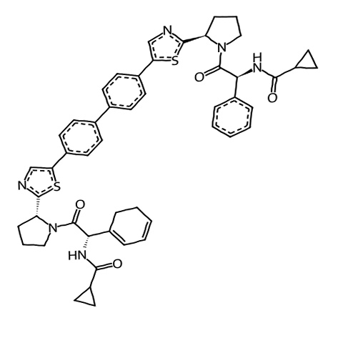 O=C(N[C@H](C(=O)N1CCC[C@@H]1c1ncc(-c2ccc(-c3ccc(-c4cnc([C@H]5CCCN5C(=O)[C@@H](NC(=O)C5CC5)c5ccccc5)s4)cc3)cc2)s1)C1=CC=CCC1)C1CC1